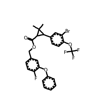 CC1(C)C(C(=O)OCc2ccc(F)c(Oc3ccccc3)c2)C1c1ccc(OC(F)(F)F)c(Br)c1